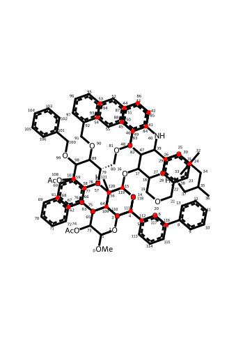 COC(OC1C(COCc2ccccc2)OC(OC2C(COCc3ccccc3)OC(OC(C)(C)CC(C)CN)C(Nc3ccccc3)C2OCc2ccccc2)C(Nc2ccccc2)C1OCc1ccccc1)C(OC(C)=O)C(O[C@H]1O[C@@H](COCc2ccccc2)C(OCc2ccccc2)C(OCc2ccccc2)C1OC(C)=O)C1OC(c2ccccc2)OCC1C